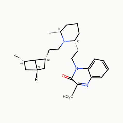 C[C@@H]1CCC[C@H](CCn2c(=O)c(C(=O)O)nc3ccccc32)N1CC[C@@H]1C[C@@H]2C[C@H](C)C12